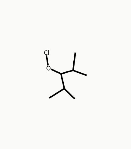 CC(C)C(OCl)C(C)C